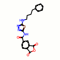 O=C(Nc1nnc(NCCCCc2ccccc2)s1)c1ccc2c(c1)C(=O)OC2=O